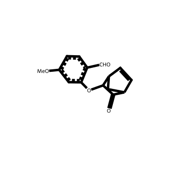 COc1ccc(C=O)c(OC2C(=O)C3C=CC2C3)c1